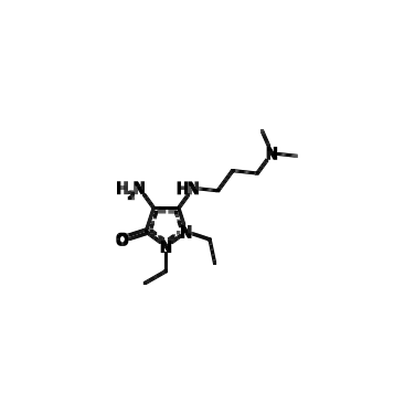 CCn1c(NCCCN(C)C)c(N)c(=O)n1CC